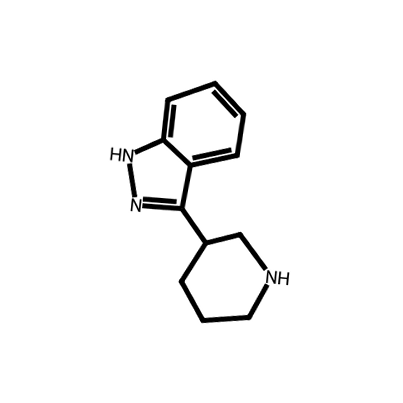 c1ccc2c(C3CCCNC3)n[nH]c2c1